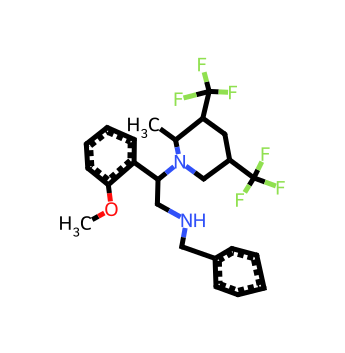 COc1ccccc1C(CNCc1ccccc1)N1CC(C(F)(F)F)CC(C(F)(F)F)C1C